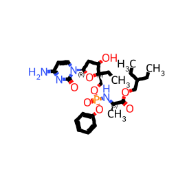 CCC(CC)COC(=O)[C@H](C)NP(=O)(OC[C@@]1(CC)O[C@@H](n2ccc(N)nc2=O)CC1O)Oc1ccccc1